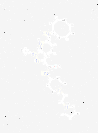 Cn1nc(C(=O)NC2CCN(CCN3CCCC3)CC2)c2ccc(NC3CCCCCCC3)nc21